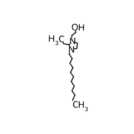 CCCCCCCCCCCCN1CCN(CCO)C1CC